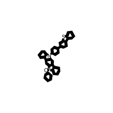 O=P1(c2ccccc2)c2ccccc2-c2cc3c(cc21)c1ccccc1n3-c1ccc(-c2ccc3c(c2)sc2ccccc23)cc1